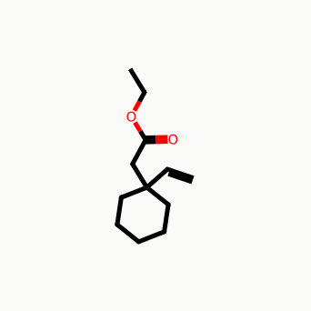 C=CC1(CC(=O)OCC)CCCCC1